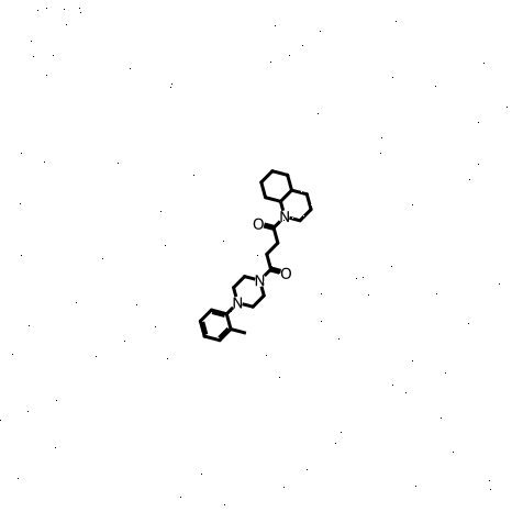 Cc1ccccc1N1CCN(C(=O)CCC(=O)N2CCCC3CCCCC32)CC1